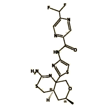 C[C@H]1C[C@H]2CSC(N)=NC2(c2nc(NC(=O)c3cnc(C(F)F)cn3)cs2)CO1